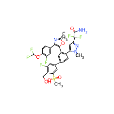 Cc1nc(-c2ccc(OC(F)F)c(F)c2)c(-c2cc(-c3cc(F)c(CO)c(S(C)(=O)=O)c3)ccc2-c2cc(C(F)(F)C(N)=O)nn2C)o1